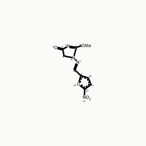 COC1=NC(=O)CN1N=Cc1ccc([N+](=O)[O-])o1